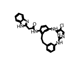 O=C(Cc1nc2ccccc2[nH]1)Nc1ccc2cc1CCc1cccc(c1)Nc1ncc(Cl)c(n1)N2